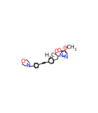 COc1cncn(C(Cc2ccc(C#Cc3ccc(CN4CCOCC4)cc3)cc2)C(C)=O)c1=O